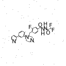 CN1CCN(c2cccc(-c3cccnc3)c2)C(Cc2ccc(C(=O)NNC(=O)C(F)F)cc2F)C1